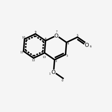 COC1=CC(C=O)Oc2ccccc21